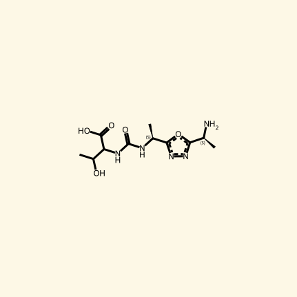 CC(O)C(NC(=O)N[C@@H](C)c1nnc([C@H](C)N)o1)C(=O)O